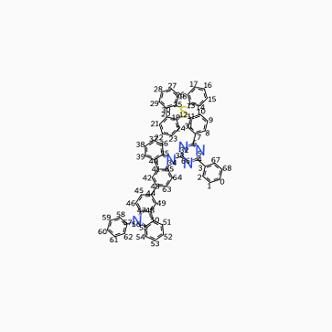 c1ccc(-c2nc(-c3cccc(S(c4ccccc4)(c4ccccc4)c4ccccc4)c3)nc(-n3c4ccccc4c4cc(-c5ccc6c(c5)c5ccccc5n6-c5ccccc5)ccc43)n2)cc1